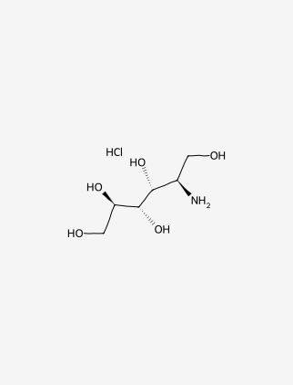 Cl.N[C@H](CO)[C@@H](O)[C@H](O)[C@H](O)CO